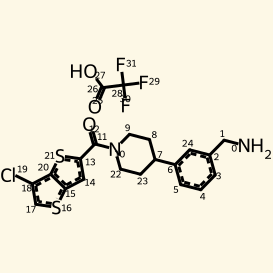 NCc1cccc(C2CCN(C(=O)c3cc4scc(Cl)c4s3)CC2)c1.O=C(O)C(F)(F)F